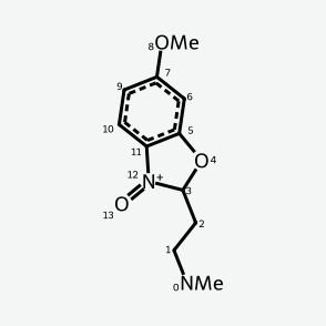 CNCCC1Oc2cc(OC)ccc2[N+]1=O